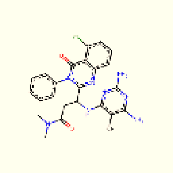 CN(C)C(=O)CC(Nc1nc(N)nc(N)c1C#N)c1nc2cccc(Cl)c2c(=O)n1-c1ccccc1